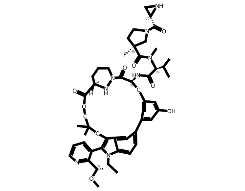 CCn1c(-c2cccnc2[C@H](C)OC)c2c3cc(ccc31)-c1cc(O)cc(c1)C[C@H](NC(=O)[C@H](C(C)C)N(C)C(=O)[C@@]1(F)CCN(C(=O)[C@@H]3CN3)C1)C(=O)N1CCC[C@H](N1)C(=O)OCC(C)(C)C2